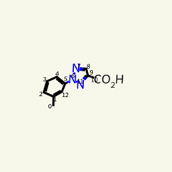 Cc1cccc(-n2ncc(C(=O)O)n2)c1